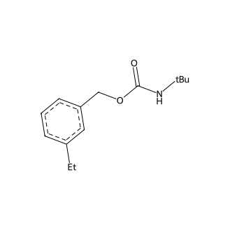 CCc1cccc(COC(=O)NC(C)(C)C)c1